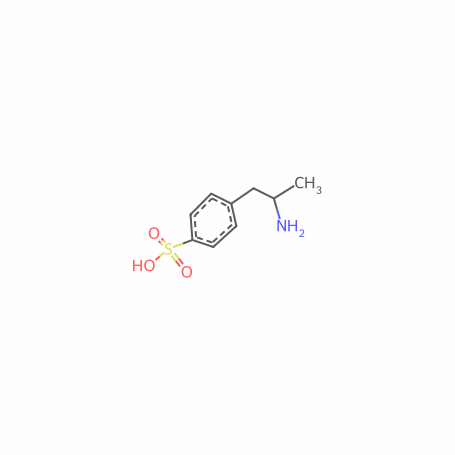 CC(N)Cc1ccc(S(=O)(=O)O)cc1